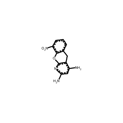 Nc1cc(N)c2c(n1)Oc1c(cccc1[N+](=O)[O-])C2